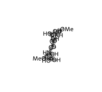 COc1ccc(C(NCCCOC(=O)/C=C/C(=O)OCCCNC(c2ccc(OC)cc2)C(O)c2cc(O)cc(O)c2)C(O)c2cc(O)cc(O)c2)cc1